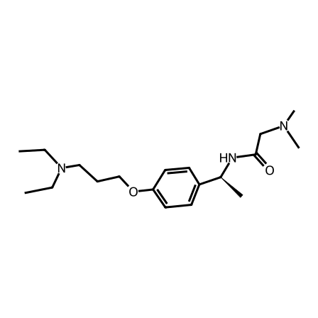 CCN(CC)CCCOc1ccc([C@H](C)NC(=O)CN(C)C)cc1